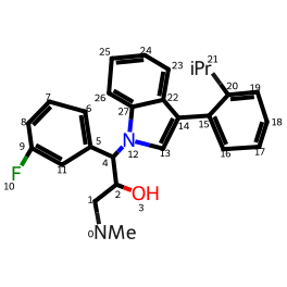 CNCC(O)C(c1cccc(F)c1)n1cc(-c2ccccc2C(C)C)c2ccccc21